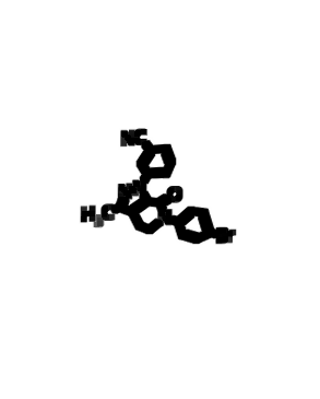 Cc1nn(-c2cccc(C#N)c2)c2c1CCN(c1ccc(Br)cc1)C2=O